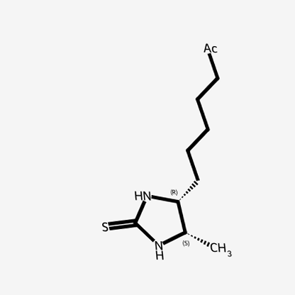 CC(=O)CCCCC[C@H]1NC(=S)N[C@H]1C